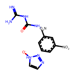 N=C(N)NC(N)=O.O=[N+]([O-])c1cccc([N+](=O)[O-])c1.[O-][NH+]1C=CN=N1